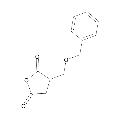 O=C1CC(COCc2ccccc2)C(=O)O1